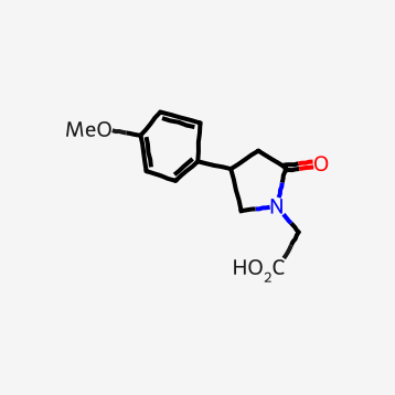 COc1ccc(C2CC(=O)N(CC(=O)O)C2)cc1